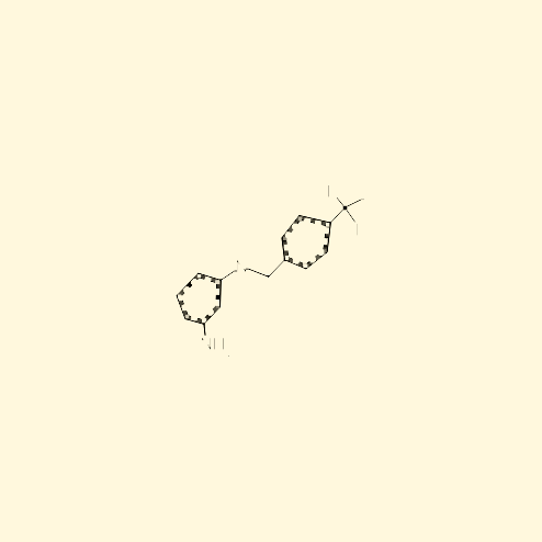 Nc1c[c]cc(NCc2ccc(C(F)(F)F)cc2)c1